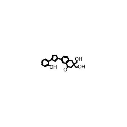 O=C1CC(CO)(CO)Cc2ccc(C3=CC(c4ccccc4O)=CC3)cc21